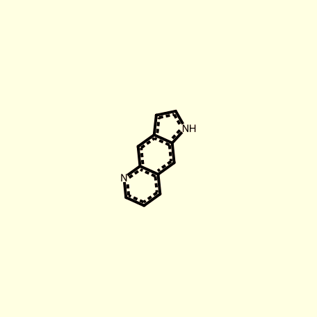 c1cnc2cc3cc[nH]c3cc2c1